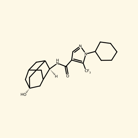 O=C(N[C@H]1C2CC3CC1C[C@](O)(C3)C2)c1cnn(C2CCCCC2)c1C(F)(F)F